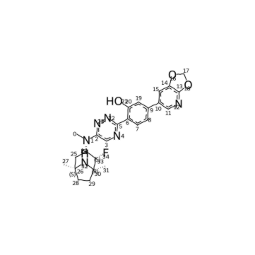 CN(c1cnc(-c2ccc(-c3cnc4c(c3)OCO4)cc2O)nn1)[C@H]1C[C@]2(C)CC[C@@](C)(N2)[C@H]1F